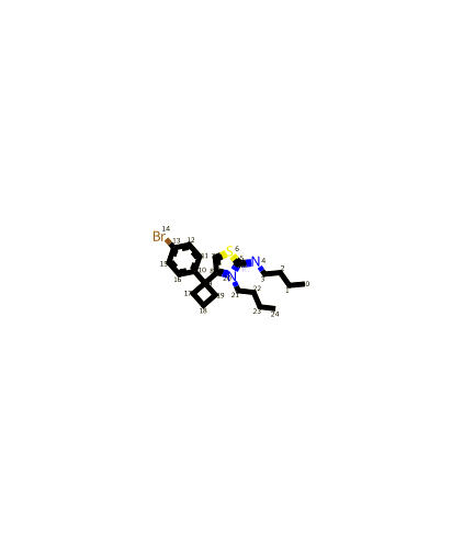 CCCC/N=c1/scc(C2(c3ccc(Br)cc3)CCC2)n1CCCC